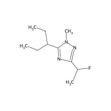 CCC(CC)c1nc(C(C)F)nn1C